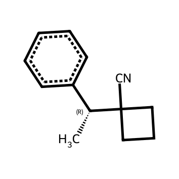 C[C@H](c1ccccc1)C1(C#N)CCC1